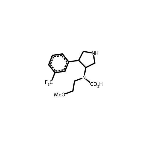 COCCN(C(=O)O)C1CNCC1c1cccc(C(F)(F)F)c1